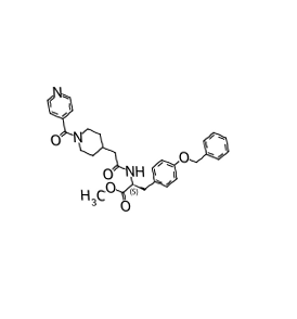 COC(=O)[C@H](Cc1ccc(OCc2ccccc2)cc1)NC(=O)CC1CCN(C(=O)c2ccncc2)CC1